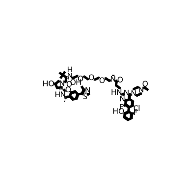 CC(=O)N1CCN(c2nc(NCCC(=O)N(C)CCOCCOCCOCC(O)N[C@H](C(=O)N3C[C@H](O)C[C@H]3C(=O)N[C@@H](C)c3ccc(-c4scnc4C)cc3)C(C)(C)C)nc3c(F)c(-c4c(O)cccc4F)c(Cl)cc23)CC1